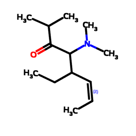 C/C=C\C(CC)C(C(=O)C(C)C)N(C)C